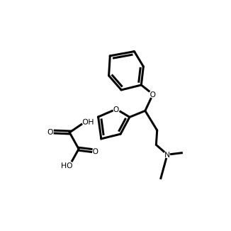 CN(C)CCC(Oc1ccccc1)c1ccco1.O=C(O)C(=O)O